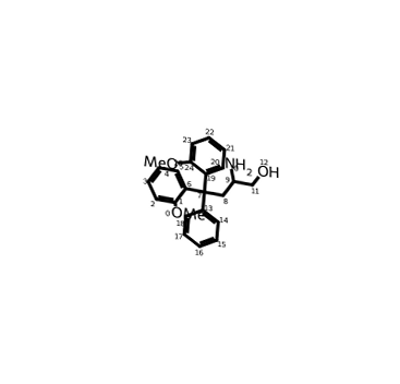 COc1ccccc1C(CC(N)CO)(c1ccccc1)c1ccccc1OC